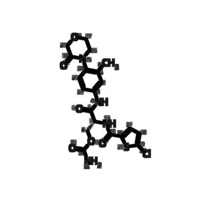 Cc1cc(NC(=O)[C@@H](COC(N)=O)NC(=O)c2ccc(Cl)s2)ccc1N1CCOCC1=O